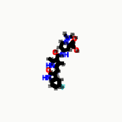 Cc1[nH]c(/C=C2\C(=O)Nc3ccc(F)cc32)c(C)c1C(=O)NC1CCN(N(C)C)C2(C1)C(=O)C2=O